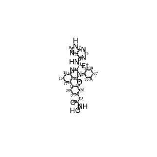 CC[C@H](Nc1ncnc2[nH]cnc12)c1nc2cccc(-c3ccc(CC(=O)NO)cc3)c2c(=O)n1-c1ccccc1